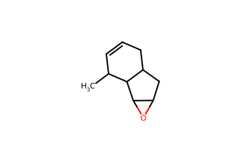 CC1C=CCC2CC3OC3C12